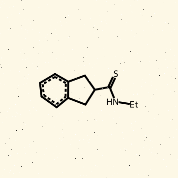 CCNC(=S)C1Cc2ccccc2C1